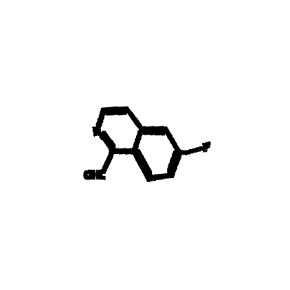 O=Cc1nccc2cc(F)ccc12